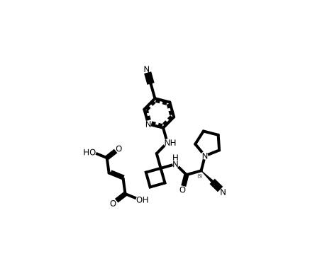 N#Cc1ccc(NCC2(NC(=O)[C@H](C#N)N3CCCC3)CCC2)nc1.O=C(O)C=CC(=O)O